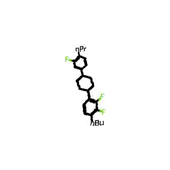 CCCCc1ccc(C2CCC(c3ccc(CCC)c(F)c3)CC2)c(F)c1F